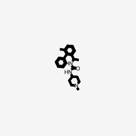 Cc1cccc(C(C)NC(=O)NC2CCN(C)CC2)c1-c1ccccc1